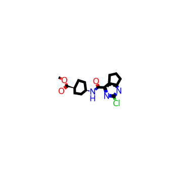 COC(=O)[C@H]1CC[C@H](NC(=O)c2nc(Cl)nc3c2CCC3)CC1